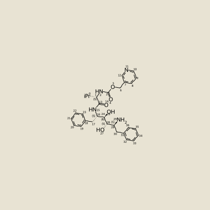 CC(C)[C@H](NC(=O)OCc1cccnc1)C(=O)N[C@@H](Cc1ccccc1)[C@@H](O)[C@@H](O)[C@@H](N)Cc1ccccc1